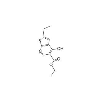 CCOC(=O)c1cnc2sc(CC)cc2c1O